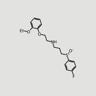 CCOc1ccccc1OCCNCCC[S+]([O-])c1ccc(F)cc1